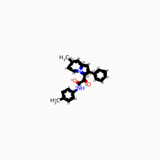 Cc1ccc(NC(=O)C(=O)c2c(-c3ccccc3)cc3cc(C)ccn23)cc1